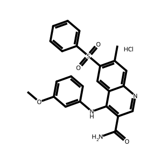 COc1cccc(Nc2c(C(N)=O)cnc3cc(C)c(S(=O)(=O)c4ccccc4)cc23)c1.Cl